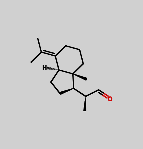 CC(C)=C1CCC[C@]2(C)[C@@H]([C@H](C)C=O)CC[C@@H]12